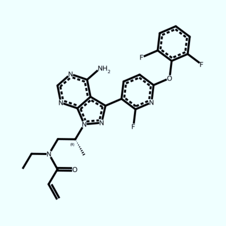 C=CC(=O)N(CC)C[C@@H](C)n1nc(-c2ccc(Oc3c(F)cccc3F)nc2F)c2c(N)ncnc21